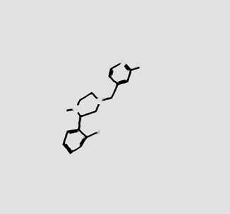 Cc1cc(CN2CCN(C)C(c3ccccc3C(C)C)C2)ccn1